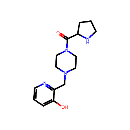 O=C(C1CCCN1)N1CCN(Cc2ncccc2O)CC1